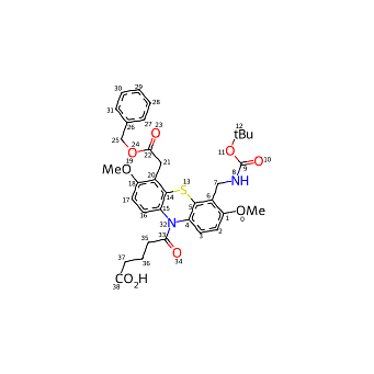 COc1ccc2c(c1CNC(=O)OC(C)(C)C)Sc1c(ccc(OC)c1CC(=O)OCc1ccccc1)N2C(=O)CCCC(=O)O